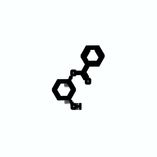 O=C(O[C@H]1CCC[C@@H](O)C1)c1ccccc1